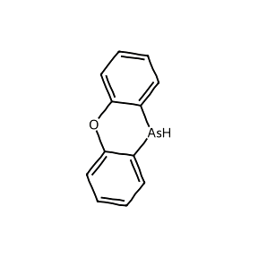 c1ccc2c(c1)Oc1ccccc1[AsH]2